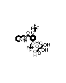 O=C(NCC1CCCCN1)c1cc(OCC(F)(F)F)ccc1OCC(F)(F)F.O=C(O)C(O)C(O)C(=O)O